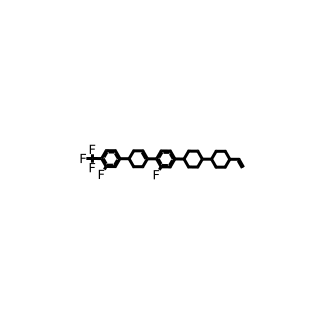 C=CC1CCC(C2CCC(c3ccc(C4=CCC(c5ccc(C(F)(F)F)c(F)c5)CC4)c(F)c3)CC2)CC1